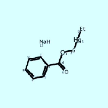 C[CH2][Hg][S]OC(=O)c1ccccc1.[NaH]